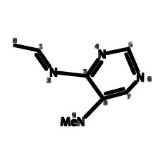 C/C=N/c1ncncc1NC